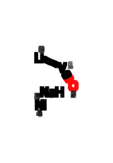 [Li][V]=[O].[NaH].[Ni]